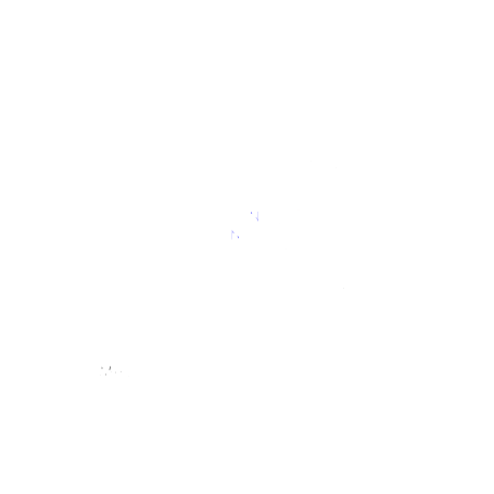 COC1CC=C(C#Cc2cc(OCc3ccccc3)c(OCc3ccccc3)nn2)CC1